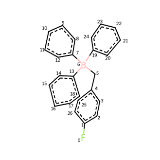 Fc1ccc(C[B-](c2ccccc2)(c2ccccc2)c2ccccc2)cc1